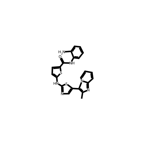 Cc1nc2ccccn2c1-c1cnc(Nc2ccc(C(=O)Nc3ccccc3N)s2)s1